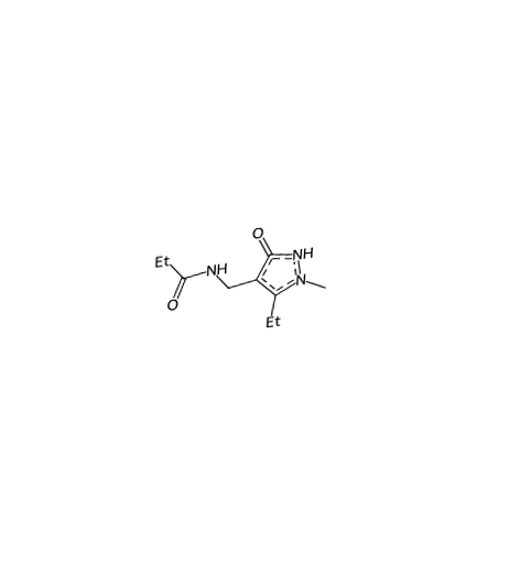 CCC(=O)NCc1c(CC)n(C)[nH]c1=O